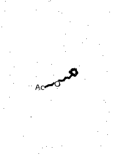 CC(=O)CCCCOCCCCc1ccccc1